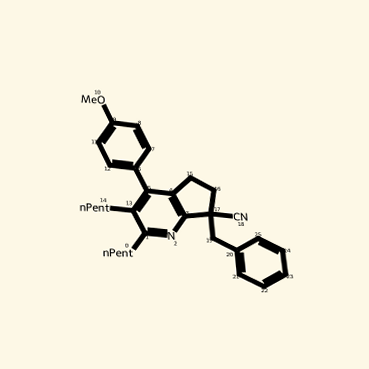 CCCCCc1nc2c(c(-c3ccc(OC)cc3)c1CCCCC)CCC2(C#N)Cc1ccccc1